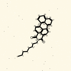 CCCCCCCCN1C(=O)c2ccc3c4cccc5cccc(c6ccc(c2c36)C1=O)c54